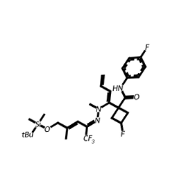 C=C/C=C(\N(C)/N=C(\C=C(/C)CO[Si](C)(C)C(C)(C)C)C(F)(F)F)C1(C(=O)Nc2ccc(F)cc2)CC(F)C1